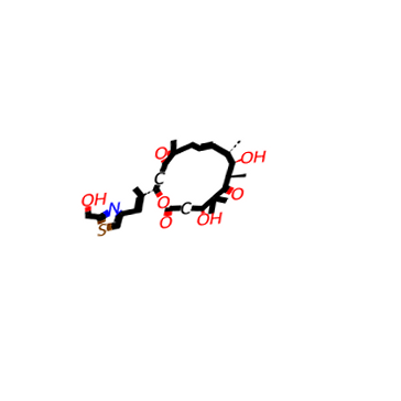 C/C(=C\c1csc(CO)n1)[C@@H]1CC2OC2(C)C/C=C/[C@H](C)[C@H](O)[C@@H](C)C(=O)C(C)(C)[C@@H](O)CC(=O)O1